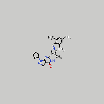 Cc1cc(C)c(CN2C[C@@H](C)[C@H](c3nc4c(cnn4C4CCCC4)c(=O)[nH]3)C2)c(C)c1